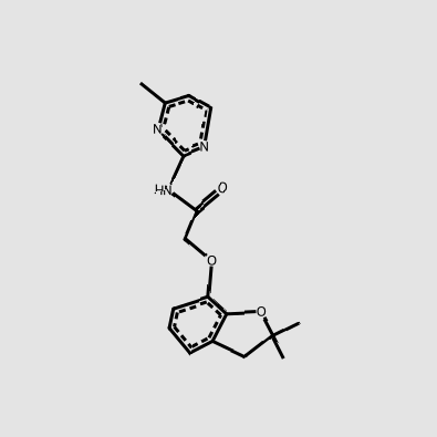 Cc1ccnc(NC(=O)COc2cccc3c2OC(C)(C)C3)n1